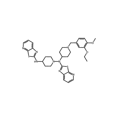 CCOc1cc(CN2CCC(N(c3nc4cccnc4s3)N3CCC(Nc4nc5cccnc5s4)CC3)CC2)ccc1OC